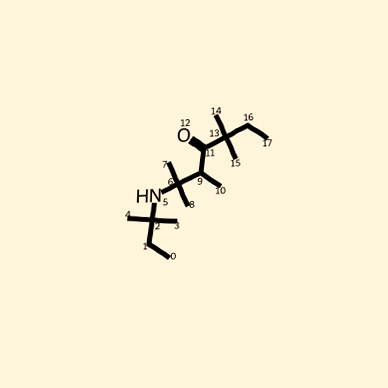 CCC(C)(C)NC(C)(C)C(C)C(=O)C(C)(C)CC